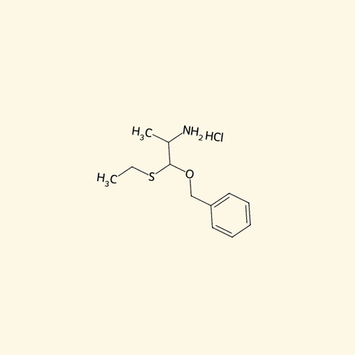 CCSC(OCc1ccccc1)C(C)N.Cl